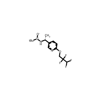 C[C@@H](N[S+]([O-])C(C)(C)C)c1ccc(OCC(F)(F)C(F)F)nc1